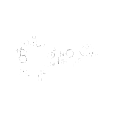 CN/C=C(\CN)c1cc2c(cc1C(F)F)N(C(=N)C1=C(NC3CCN(C(=O)CCN4CCN(Cc5ccc6c(c5)n(C)c(=O)n6C5CCC(=O)NC5=O)C4)CC3)CCN1C(C)=O)CC2